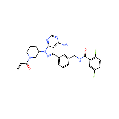 C=CC(=O)N1CCCC(n2nc(-c3cccc(CNC(=O)c4cc(F)ccc4F)c3)c3c(N)ncnc32)C1